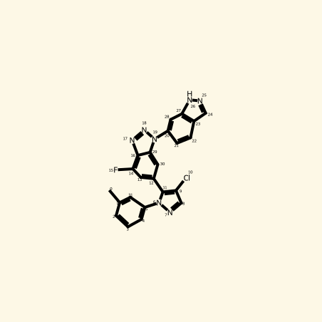 Cc1cccc(-n2ncc(Cl)c2-c2cc(F)c3nnn(-c4ccc5cn[nH]c5c4)c3c2)c1